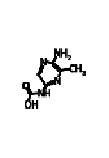 Cc1nc(NC(=O)O)cnc1N